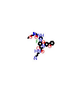 CCOCCN(C)CC(=O)N[C@@H]1CCN(c2c(F)cc3c(=O)c(C(=O)NCCCCN(C)C)cn4c3c2Oc2cc3c(cc2-4)oc2ccccc23)C1